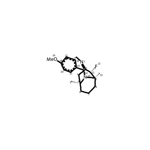 C/N=C1\C[C@]2(C)CCC[C@](C)([C@H]1F)N2Cc1ccc(OC)cc1